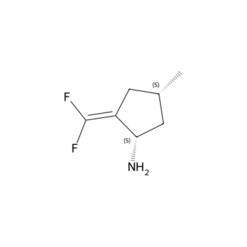 C[C@H]1CC(=C(F)F)[C@@H](N)C1